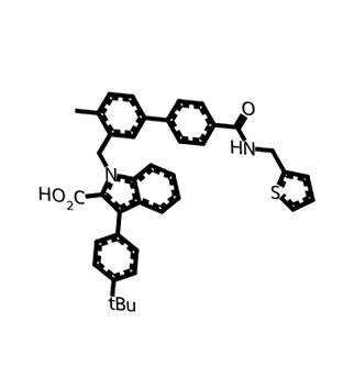 Cc1ccc(-c2ccc(C(=O)NCc3cccs3)cc2)cc1Cn1c(C(=O)O)c(-c2ccc(C(C)(C)C)cc2)c2ccccc21